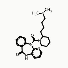 CN(C)CCCCC1CCCCN1C(=O)N1c2ccccc2C(=O)Nc2cccnc21